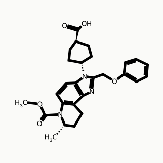 COC(=O)N1c2ccc3c(nc(COc4ccccc4)n3[C@H]3CC[C@H](C(=O)O)CC3)c2CC[C@@H]1C